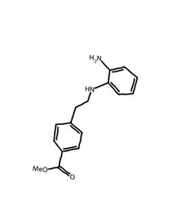 COC(=O)c1ccc(CCNc2ccccc2N)cc1